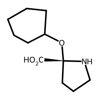 O=C(O)[C@]1(OC2CCCCC2)CCCN1